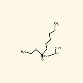 CCCCCCC(=O)OCC.CCCCCCCCPCCCCCCCC